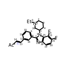 CCN1CCCC(n2c(-c3cccc(/C=C/C(C)=O)c3)nc3ccc(F)c(F)c32)C1